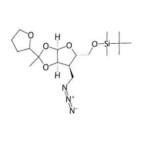 CC1(C2CCCO2)O[C@H]2O[C@H](CO[Si](C)(C)C(C)(C)C)[C@@H](CN=[N+]=[N-])[C@H]2O1